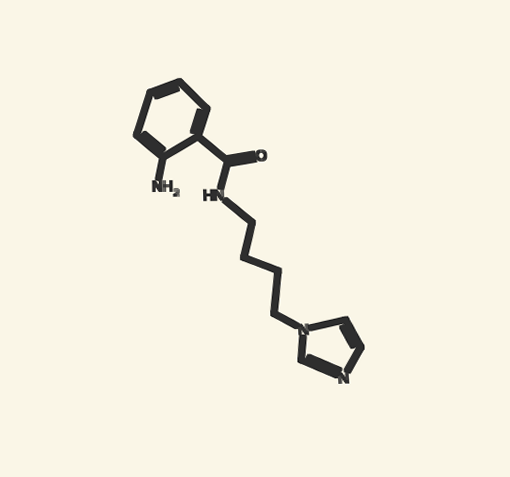 Nc1ccccc1C(=O)NCCCCn1ccnc1